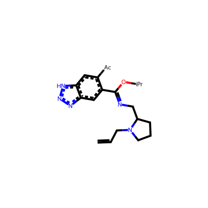 C=CCN1CCCC1C/N=C(\OC(C)C)c1cc2nn[nH]c2cc1C(C)=O